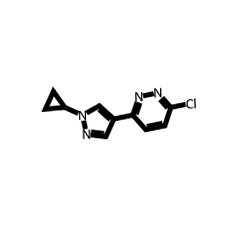 Clc1ccc(-c2cnn(C3CC3)c2)nn1